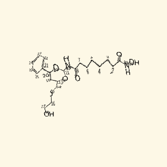 O=C(CCCCCCC(=O)NC1OC(CSCCO)CC(c2ccccc2)O1)NO